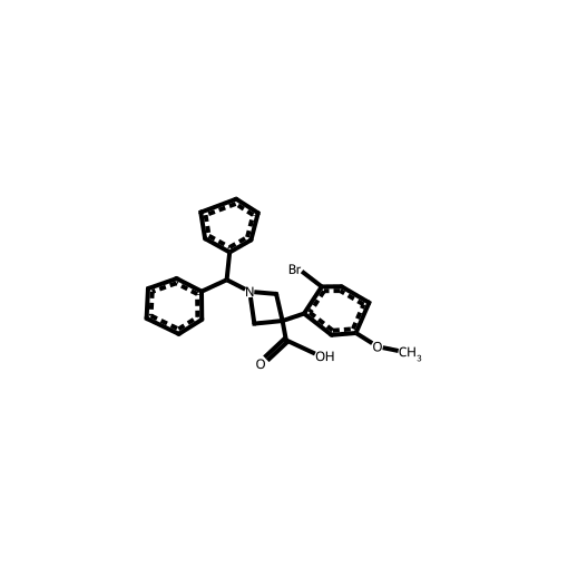 COc1ccc(Br)c(C2(C(=O)O)CN(C(c3ccccc3)c3ccccc3)C2)c1